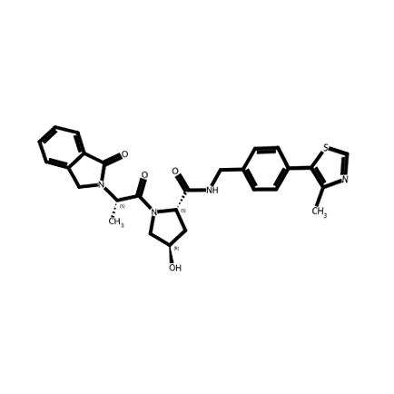 Cc1ncsc1-c1ccc(CNC(=O)[C@@H]2C[C@@H](O)CN2C(=O)[C@H](C)N2Cc3ccccc3C2=O)cc1